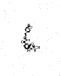 O=C(NOCCN1CCS(=O)(=O)CC1)[C@@H]1CC[C@@H]2CN1C(=O)N2OS(=O)(=O)O